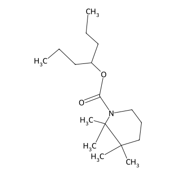 CCCC(CCC)OC(=O)N1CCCC(C)(C)C1(C)C